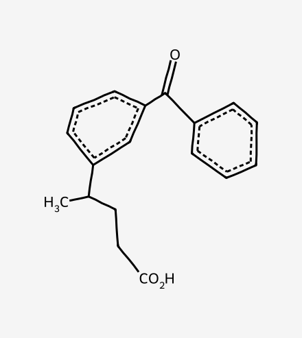 CC(CCC(=O)O)c1cccc(C(=O)c2ccccc2)c1